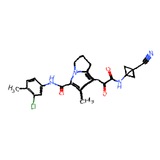 Cc1ccc(NC(=O)c2c(C)c(C(=O)C(=O)NC34CC3(C#N)C4)c3n2CCC3)cc1Cl